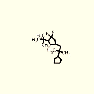 CC(C)(C)C1CC(CC(C)(C)C2CCCC2)CC1(F)F